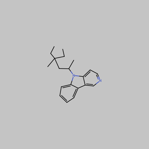 CCC(C)(CC)CC(C)n1c2ccccc2c2cnccc21